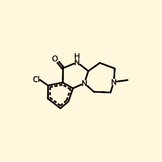 CN1CCC2NC(=O)c3c(Cl)cccc3N2CC1